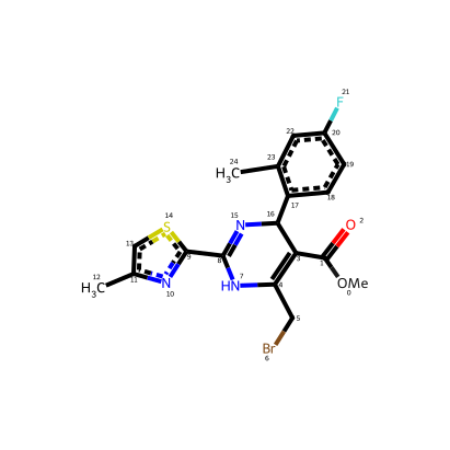 COC(=O)C1=C(CBr)NC(c2nc(C)cs2)=NC1c1ccc(F)cc1C